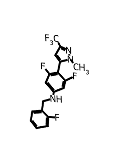 Cn1nc(C(F)(F)F)cc1-c1c(F)cc(NCc2ccccc2F)cc1F